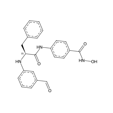 O=Cc1cccc(N[C@@H](Cc2ccccc2)C(=O)Nc2ccc(C(=O)NO)cc2)c1